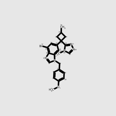 COc1ccc(Cn2cnc3c(Br)cc(C4(c5nncn5C)CC(C)C4)cc32)cc1